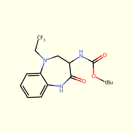 CC(C)(C)OC(=O)NC1CN(CC(F)(F)F)c2ccccc2NC1=O